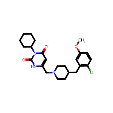 COc1ccc(Cl)c(CC2CCN(Cc3cc(=O)n(C4CCCCC4)c(=O)[nH]3)CC2)c1